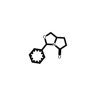 O=C1CCC2COC(c3ccccc3)N12